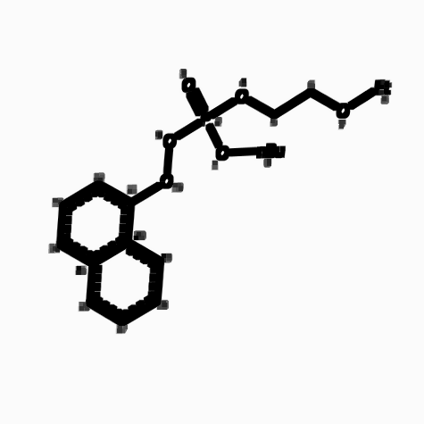 CCCCOP(=O)(OCCOCC)OOc1cccc2ccccc12